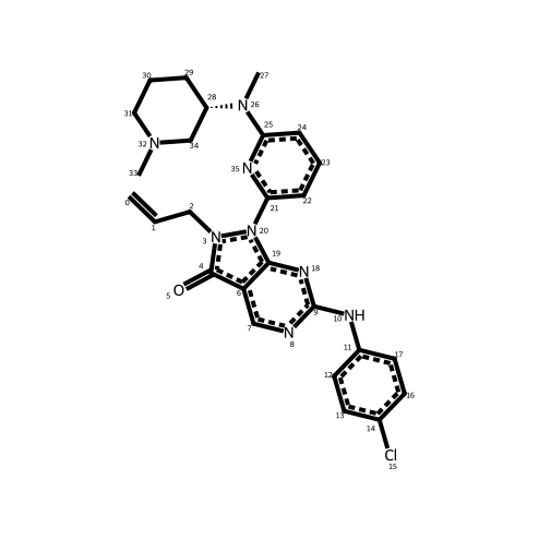 C=CCn1c(=O)c2cnc(Nc3ccc(Cl)cc3)nc2n1-c1cccc(N(C)[C@H]2CCCN(C)C2)n1